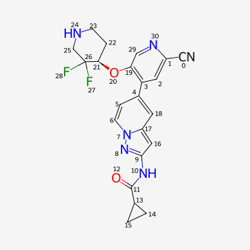 N#Cc1cc(-c2ccn3nc(NC(=O)C4CC4)cc3c2)c(O[C@@H]2CCNCC2(F)F)cn1